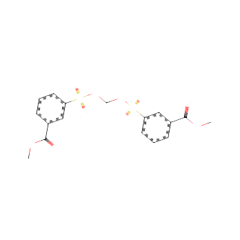 COC(=O)c1cccc(S(=O)(=O)OCOS(=O)(=O)c2cccc(C(=O)OC)c2)c1